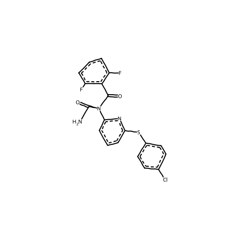 NC(=O)N(C(=O)c1c(F)cccc1F)c1cccc(Sc2ccc(Cl)cc2)n1